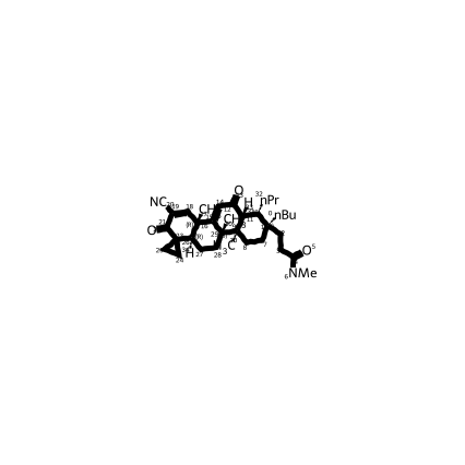 CCCC[C@]1(CCC(=O)NC)CC[C@]2(C)[C@H](C(=O)C=C3[C@@]4(C)C=C(C#N)C(=O)C5(CC5)[C@@H]4CC[C@]32C)[C@@H]1CCC